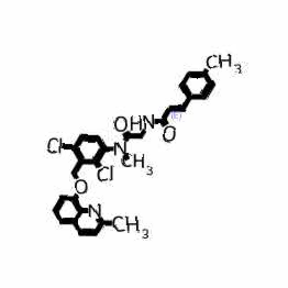 Cc1ccc(/C=C/C(=O)NCC(=O)N(C)c2ccc(Cl)c(COc3cccc4ccc(C)nc34)c2Cl)cc1